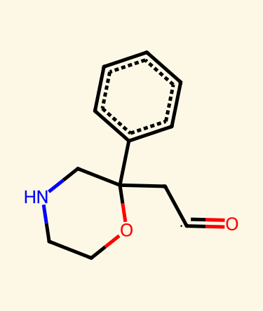 O=[C]CC1(c2ccccc2)CNCCO1